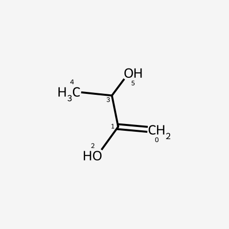 C=C(O)C(C)O